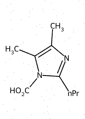 CCCc1nc(C)c(C)n1C(=O)O